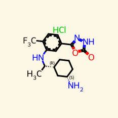 CC(Nc1cc(-c2n[nH]c(=O)o2)ccc1C(F)(F)F)[C@@H]1CCC[C@H](N)C1.Cl